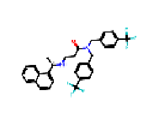 C[C@@H](NCCC(=O)N(Cc1ccc(C(F)(F)F)cc1)Cc1ccc(C(F)(F)F)cc1)c1cccc2ccccc12